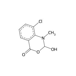 CN1c2c(Cl)cccc2C(=O)OC1O